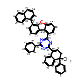 CC1(c2ccccc2)CC=C(c2nc(-c3cccc4oc5c(-c6cccc7ccccc67)cccc5c34)nc(C3C=CC=CC3)n2)c2ccccc21